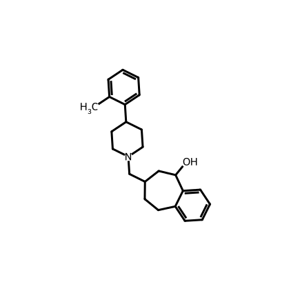 Cc1ccccc1C1CCN(CC2CCc3ccccc3C(O)C2)CC1